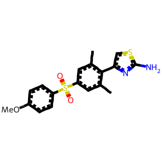 COc1ccc(S(=O)(=O)c2cc(C)c(-c3csc(N)n3)c(C)c2)cc1